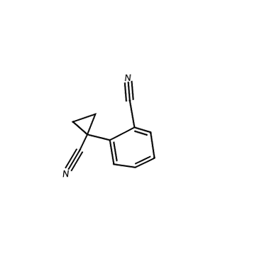 N#Cc1ccccc1C1(C#N)CC1